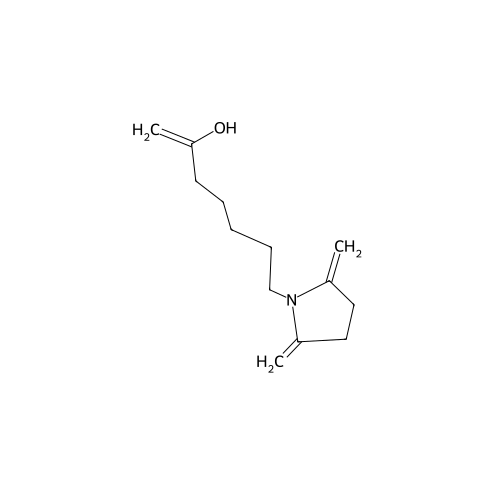 C=C(O)CCCCCN1C(=C)CCC1=C